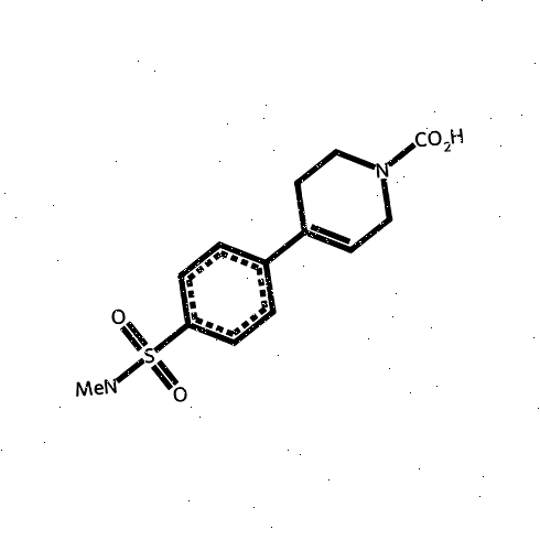 CNS(=O)(=O)c1ccc(C2=CCN(C(=O)O)CC2)cc1